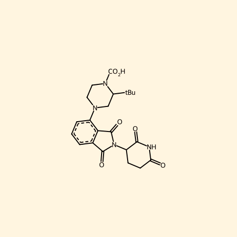 CC(C)(C)C1CN(c2cccc3c2C(=O)N(C2CCC(=O)NC2=O)C3=O)CCN1C(=O)O